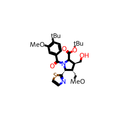 COC[C@H]1[C@H](CO)C(C(=O)OC(C)(C)C)N(C(=O)c2ccc(C(C)(C)C)c(OC)c2)[C@H]1c1nccs1